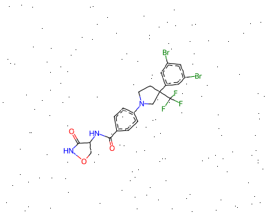 O=C(NC1CONC1=O)c1ccc(N2CCC(c3cc(Br)cc(Br)c3)(C(F)(F)F)C2)cc1